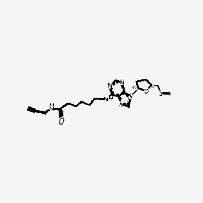 C#CCNC(=O)CCCCCNc1ncnc2c1ncn2[C@H]1CC[C@@H](CSC)O1